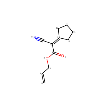 C=CCOC(=O)C(C#N)=C1CCCC1